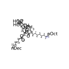 CCCCCCCC/C=C\CCCCCCCC(=O)O[C@@H](COC(=O)CCCCCCCCCCCCCCC)CC(COP(=O)(O)O)[N+](C)(C)C